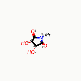 CCCN1C(=O)[C@H](O)[C@@H](O)C1=O